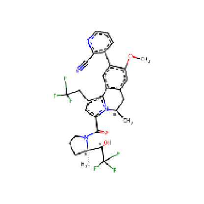 COc1cc2c(cc1-c1cccnc1C#N)-c1c(CC(F)(F)F)cc(C(=O)N3CCC[C@]3(C)[C@H](O)C(F)(F)F)n1[C@H](C)C2